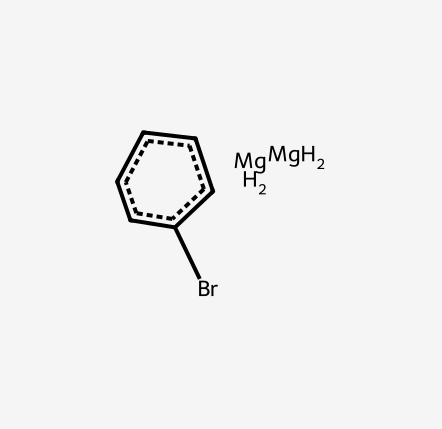 Brc1ccccc1.[MgH2].[MgH2]